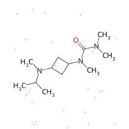 CC(C)N(C)C1CC(N(C)C(=O)N(C)C)C1